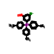 Cc1ccc([P+](c2ccc(C)cc2)(c2ccc(C)cc2)c2cccc(O)c2)cc1.[Br-]